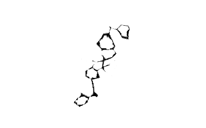 CN1c2ccc(C(=O)c3ccccc3)cc2C(C)(C)C12C=Cc1cc(C(=O)C3=CC=CCC3)ccc1O2